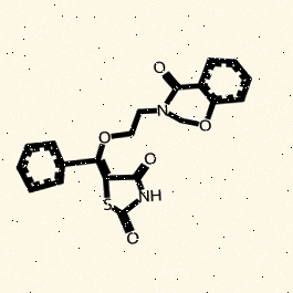 O=C1NC(=O)C(=C(OCCN2COc3ccccc3C2=O)c2ccccc2)S1